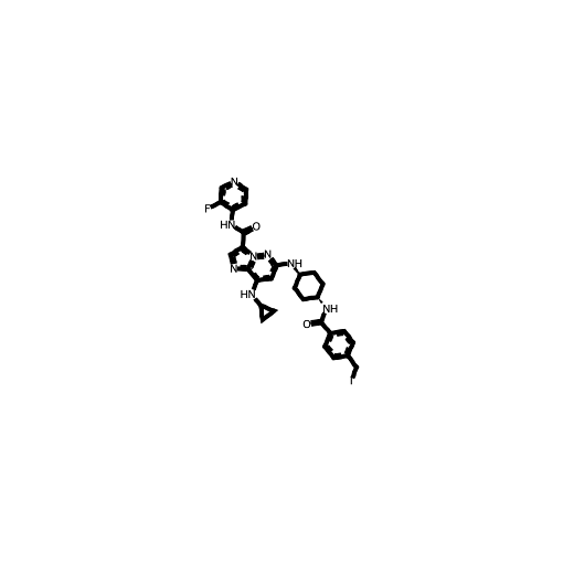 O=C(N[C@H]1CC[C@H](Nc2cc(NC3CC3)c3ncc(C(=O)Nc4ccncc4F)n3n2)CC1)c1ccc(CI)cc1